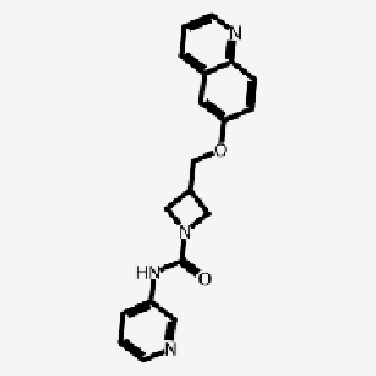 O=C(Nc1cccnc1)N1CC(COc2ccc3ncccc3c2)C1